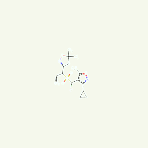 C=CC(C1=NOC(C)(C)C1)S(=O)(=O)C(Cl)c1c(C2CC2)noc1C